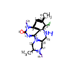 Cc1cc2c3c(nc(=O)n2I)N2CC(C)N(I)CC2CNc3c1F